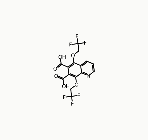 O=C(O)c1c(C(=O)O)c(OCC(F)(F)F)c2ncccc2c1OCC(F)(F)F